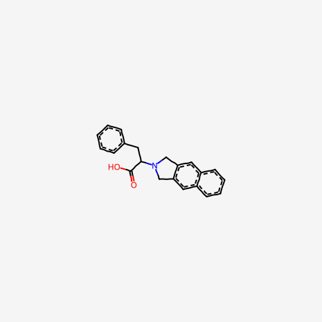 O=C(O)C(Cc1ccccc1)N1Cc2cc3ccccc3cc2C1